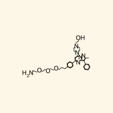 Cc1nn2c(N3CCN(CCO)CC3)cc(-c3ccc(CCCOCCOCCOCCN)cc3)nc2c1-c1ccccc1